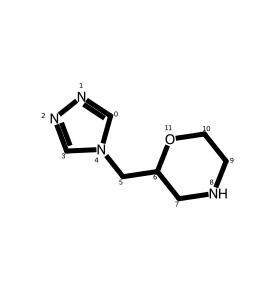 c1nncn1CC1CNCCO1